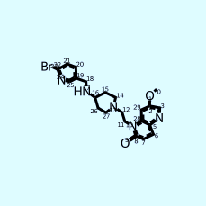 COc1cnc2ccc(=O)n(CCN3CCC(NCc4ccc(Br)nc4)CC3)c2c1